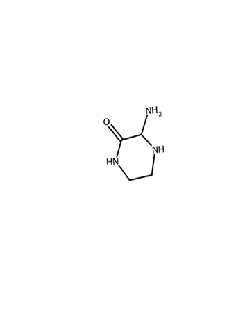 NC1NCCNC1=O